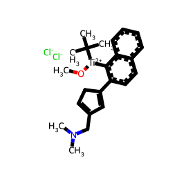 C[O][Ti+2]([c]1c(C2=CC(CN(C)C)=CC2)ccc2ccccc12)[C](C)(C)C.[Cl-].[Cl-]